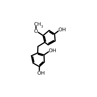 COc1cc(O)ccc1Cc1ccc(O)cc1O